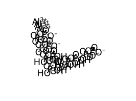 O=P(O)(O)OP(=O)(O)O.O=P(O)(O)OP(=O)(O)O.O=P(O)(O)OP(=O)(O)O.O=P([O-])([O-])OP(=O)([O-])[O-].O=P([O-])([O-])OP(=O)([O-])[O-].O=P([O-])([O-])OP(=O)([O-])[O-].[Al+3].[Al+3].[Al+3].[Al+3]